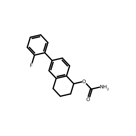 NC(=O)OC1CCCc2cc(-c3ccccc3F)ccc21